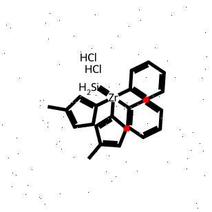 CC1=CC[C]([Zr](=[SiH2])([C]2=CC(C)=CC2)([c]2ccccc2)[c]2ccccc2)=C1.Cl.Cl